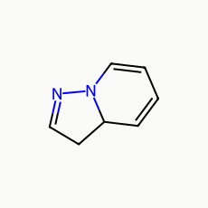 C1=CC2CC=NN2C=C1